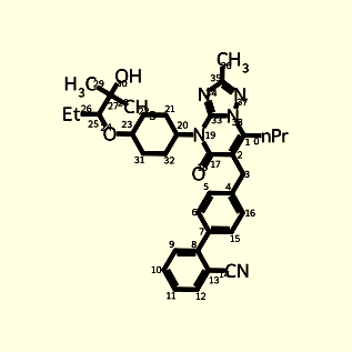 CCCc1c(Cc2ccc(-c3ccccc3C#N)cc2)c(=O)n(C2CCC(OC(CC)C(C)(C)O)CC2)c2nc(C)nn12